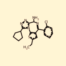 CCc1cc2c(s1)-n1c(C3CCCC3)nnc1C(N)N=C2c1ccccc1Cl